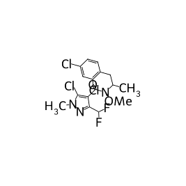 CON(C(=O)c1c(C(F)F)nn(C)c1Cl)C(C)Cc1ccc(Cl)cc1Cl